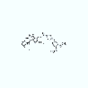 COc1ccc(CN2CCN(C(=O)CCc3c(C)nn(-c4ccc5ncc(C)n5n4)c3C)CC2)cc1OC